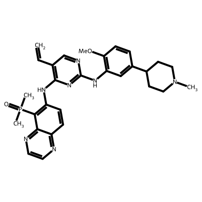 C=Cc1cnc(Nc2cc(C3CCN(C)CC3)ccc2OC)nc1Nc1ccc2nccnc2c1P(C)(C)=O